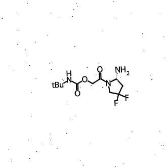 CC(C)(C)NC(=O)OCC(=O)N1CC(F)(F)C[C@H]1N